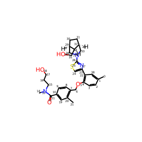 Cc1ccc(OCc2ccc(C(=O)N(C)CCCO)cc2C)c(-c2csc(N3C[C@H]4CC[C@@H](C3)[C@H]4CO)n2)c1